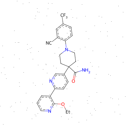 CCOc1ncccc1-c1ccc(C2(C(N)=O)CCN(c3ccc(C(F)(F)F)cc3C#N)CC2)cn1